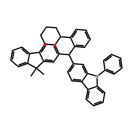 CC1(C)c2ccccc2-c2ccc(C(c3ccc4c5ccccc5n(-c5ccccc5)c4c3)c3ccccc3C3CCCCC3)cc21